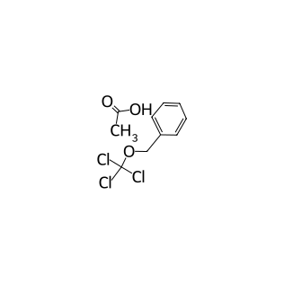 CC(=O)O.ClC(Cl)(Cl)OCc1ccccc1